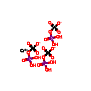 O=P(O)(O)[O][W](=[O])(=[O])[O-].O=P(O)(O)[O][W](=[O])(=[O])[O-].O=P(O)(O)[O][W](=[O])(=[O])[O-].[Cr+3]